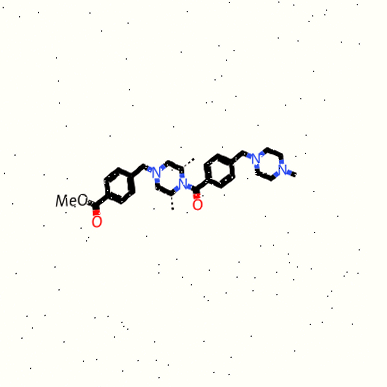 COC(=O)c1ccc(CN2C[C@@H](C)N(C(=O)c3ccc(CN4CCN(C)CC4)cc3)[C@@H](C)C2)cc1